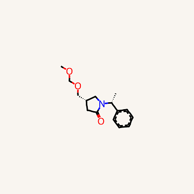 COCOC[C@H]1CC(=O)N([C@H](C)c2ccccc2)C1